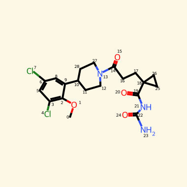 COc1c(Cl)cc(Cl)cc1C1CCN(C(=O)CCC2(C(=O)NC(N)=O)CC2)CC1